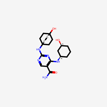 NC(=O)c1cnc(NC23CCC(O)(CC2)CC3)nc1N[C@@H]1CCC[C@H](O)C1